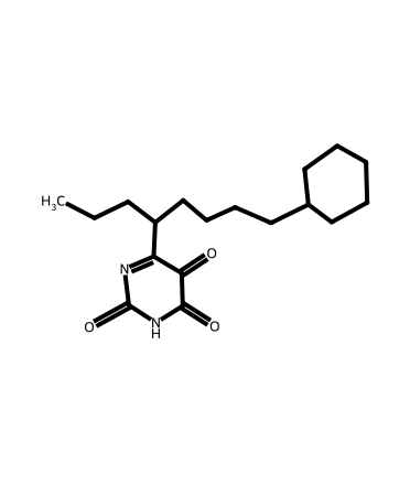 CCCC(CCCCC1CCCCC1)C1=NC(=O)NC(=O)C1=O